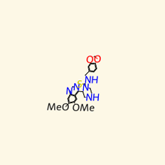 COc1cc2ncnc(C3CNCCN3C(=S)NCc3ccc4c(c3)OCO4)c2cc1OC